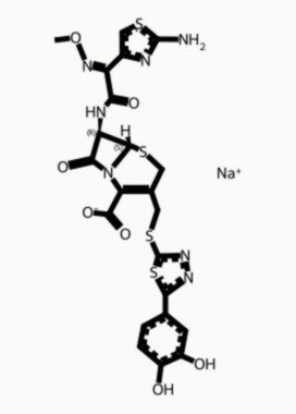 CON=C(C(=O)N[C@@H]1C(=O)N2C(C(=O)[O-])=C(CSc3nnc(-c4ccc(O)c(O)c4)s3)CS[C@@H]12)c1csc(N)n1.[Na+]